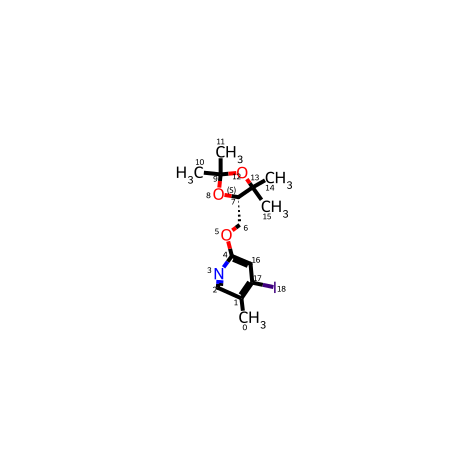 Cc1cnc(OC[C@@H]2OC(C)(C)OC2(C)C)cc1I